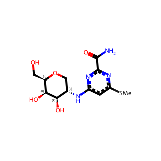 CSc1cc(N[C@H]2CO[C@H](CO)[C@H](O)[C@@H]2O)nc(C(N)=O)n1